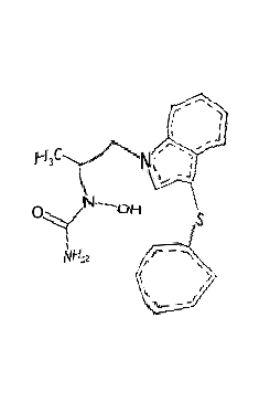 CC(Cn1cc(Sc2ccccc2)c2ccccc21)N(O)C(N)=O